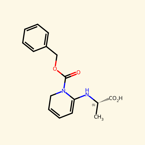 C[C@H](NC1=CC=CCN1C(=O)OCc1ccccc1)C(=O)O